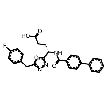 O=C(O)CC[C@H](NC(=O)c1ccc(-c2ccccc2)cc1)c1nnc(Cc2ccc(F)cc2)o1